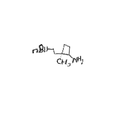 CCCCCC[C@@]1(C)CCC1N